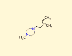 C=C[C@H](C)CCN1CCN(C)CC1